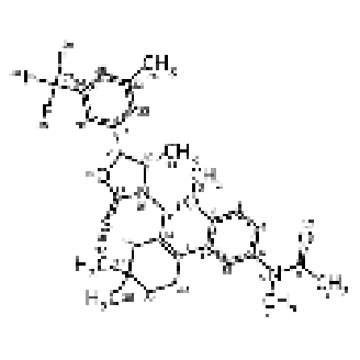 COc1ccc(N(C)C(C)=O)cc1C1=C(CN2C(=S)O[C@H](c3cc(C)cc(C(F)(F)F)c3)[C@@H]2C)CC(C)(C)CC1